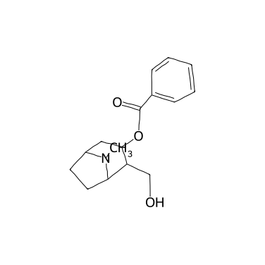 CN1C2CCC1C(CO)C(OC(=O)c1ccccc1)C2